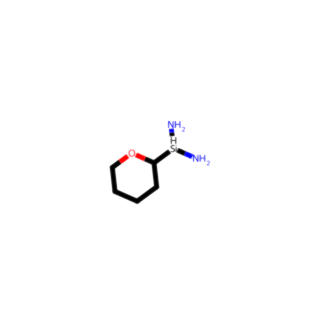 N[SiH](N)C1CCCCO1